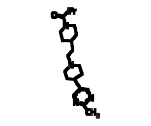 Cc1ncc(C2CCN(CCC3CCN(C(=O)C(C)C)CC3)CC2)cn1